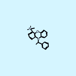 CC(c1ccccc1)N1c2ccccc2Oc2c1cccc2[Si](C)(C)C